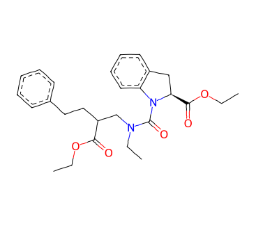 CCOC(=O)C(CCc1ccccc1)CN(CC)C(=O)N1c2ccccc2C[C@H]1C(=O)OCC